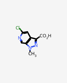 Cn1nc(C(=O)O)c2cc(Cl)ncc21